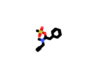 C#CCN(C)C(CC1C=CC=CC1)OS(C)(=O)=O